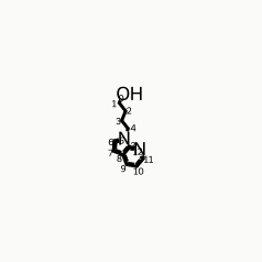 OCCCCn1ccc2cccnc21